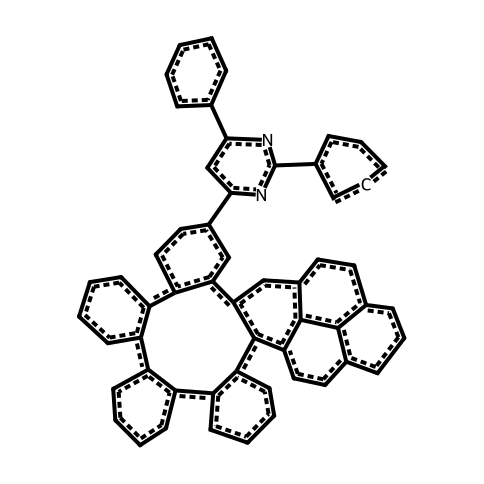 c1ccc(-c2cc(-c3ccc4c5ccccc5c5ccccc5c5ccccc5c5c(cc6ccc7cccc8ccc5c6c78)c4c3)nc(-c3ccccc3)n2)cc1